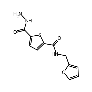 NNC(=O)c1ccc(C(=O)NCc2ccco2)s1